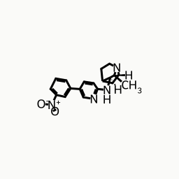 C[C@@H]1[C@@H](Nc2ccc(-c3cccc([N+](=O)[O-])c3)cn2)C2CCN1CC2